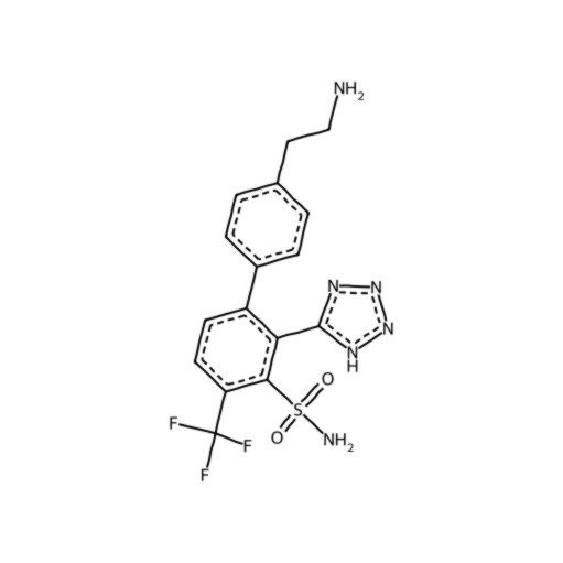 NCCc1ccc(-c2ccc(C(F)(F)F)c(S(N)(=O)=O)c2-c2nnn[nH]2)cc1